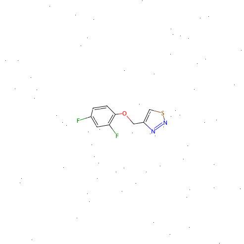 Fc1ccc(OCc2csnn2)c(F)c1